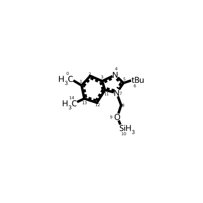 Cc1[c]c2nc(C(C)(C)C)n(CO[SiH3])c2cc1C